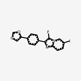 Fc1c(-c2ccc(-c3cnco3)cc2)nc2ccc(I)cn12